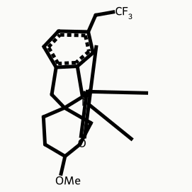 COC1CCC2(CC1)Cc1ccc(CC(F)(F)F)cc1C21N=C(C)N(C)C1=O